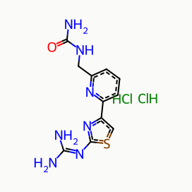 Cl.Cl.NC(=O)NCc1cccc(-c2csc(N=C(N)N)n2)n1